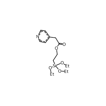 CCO[Si](CCOC(=O)Cc1ccncc1)(OCC)OCC